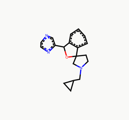 c1ccc2c(c1)C(c1cnccn1)OC21CCN(CC2CC2)C1